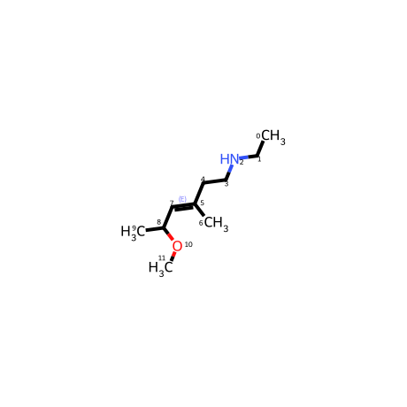 CCNCC/C(C)=C/C(C)OC